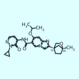 CC(C)Oc1cc2nc([C@]34CC[C@](C)(C3)OC4)cn2cc1C(=O)Nc1ccnn(C2CC2)c1=O